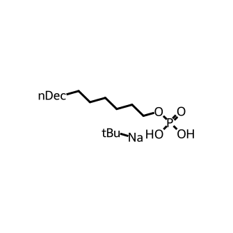 CCCCCCCCCCCCCCCCOP(=O)(O)O.C[C](C)(C)[Na]